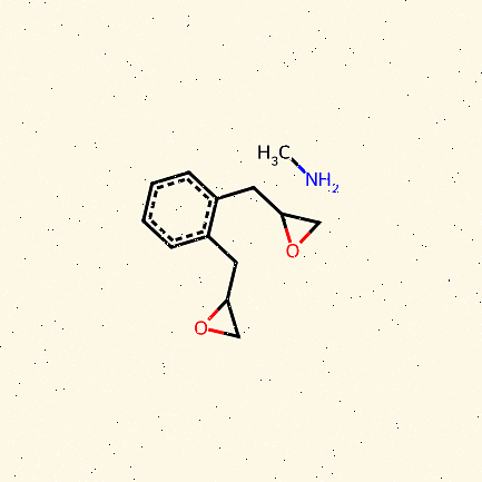 CN.c1ccc(CC2CO2)c(CC2CO2)c1